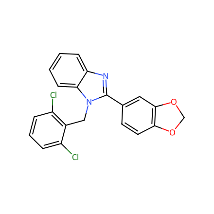 Clc1cccc(Cl)c1Cn1c(-c2ccc3c(c2)OCO3)nc2ccccc21